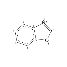 [C]1=[N+]c2ccccc2O1